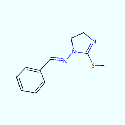 CSC1=NCCN1N=Cc1ccccc1